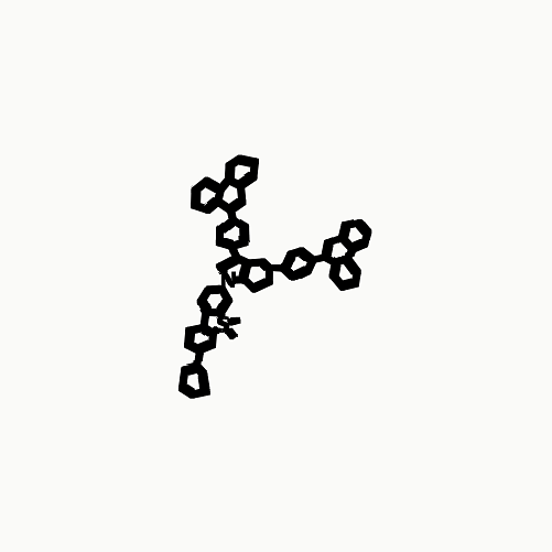 CS1(C)c2cc(-c3ccccc3)ccc2-c2ccc(-n3cc(-c4ccc(-c5cc6ccccc6c6ccccc56)cc4)c4cc(-c5ccc(-c6cc7ccccc7c7ccccc67)cc5)ccc43)cc21